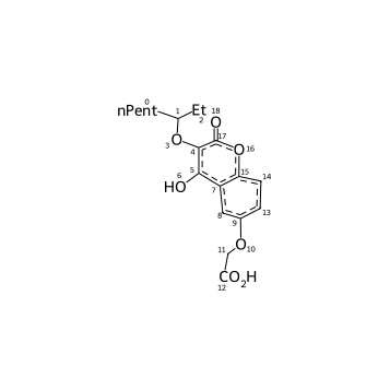 CCCCCC(CC)Oc1c(O)c2cc(OCC(=O)O)ccc2oc1=O